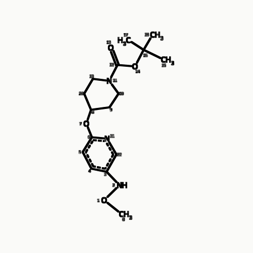 CONc1ccc(OC2CCN(C(=O)OC(C)(C)C)CC2)nc1